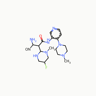 CN1CCN(c2ccncc2NC(=O)C(C(N)N=O)C2NCC(F)CN2C)CC1